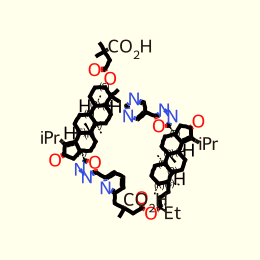 CC[C@H](CC[C@@]1(C)[C@H](C)CC[C@]2(C)[C@@H]1CC[C@@H]1C3=C(C(C)C)C(=O)C[C@]3(c3nnc(-c4cncnc4)o3)CC[C@]12C)OC(=O)CC(C)(Cc1cccc(-c2nnc([C@@]34CC[C@]5(C)[C@H](CC[C@@H]6[C@@]7(C)CC[C@H](OC(=O)CC(C)(C)C(=O)O)C(C)(C)[C@@H]7CC[C@]65C)C3=C(C(C)C)C(=O)C4)o2)n1)C(=O)O